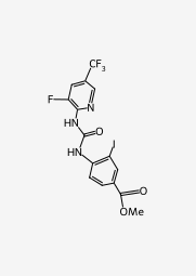 COC(=O)c1ccc(NC(=O)Nc2ncc(C(F)(F)F)cc2F)c(I)c1